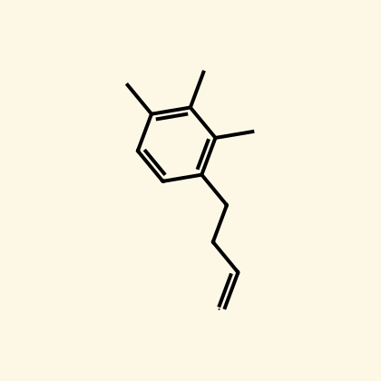 [CH]=CCCc1ccc(C)c(C)c1C